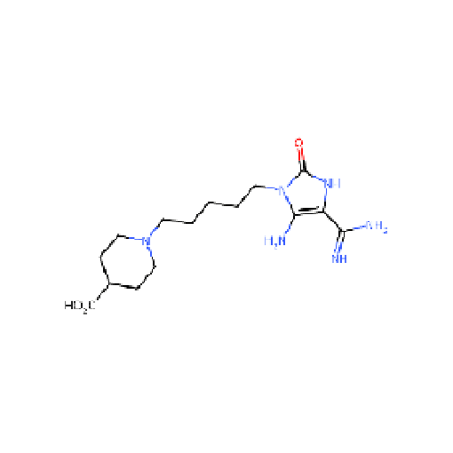 N=C(N)c1[nH]c(=O)n(CCCCCN2CCC(C(=O)O)CC2)c1N